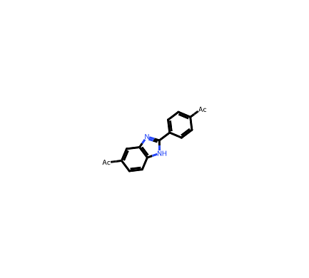 CC(=O)c1ccc(-c2nc3cc(C(C)=O)ccc3[nH]2)cc1